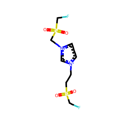 O=S(=O)(CF)CC[n+]1ccn(CS(=O)(=O)CF)c1